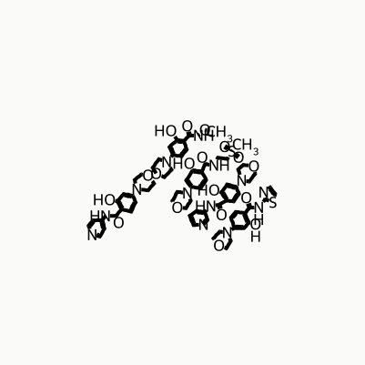 CONC(=O)c1ccc(N2CCOCC2)cc1O.CS(=O)(=O)CCNC(=O)c1ccc(N2CCOCC2)cc1O.O=C(Nc1cccnc1)c1ccc(N2CCOCC2)cc1O.O=C(Nc1ccncc1)c1ccc(N2CCOCC2)cc1O.O=C(Nc1nccs1)c1ccc(N2CCOCC2)cc1O